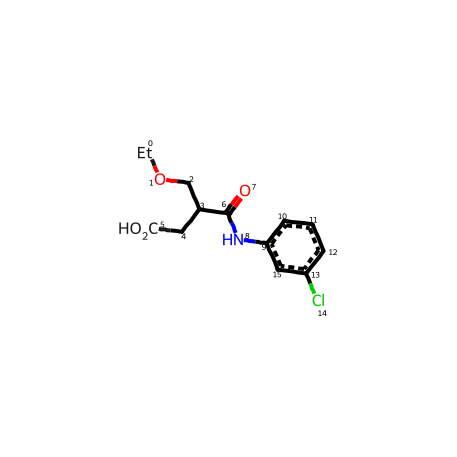 CCOCC(CC(=O)O)C(=O)Nc1cccc(Cl)c1